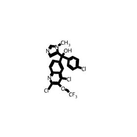 Cn1cncc1C(O)(c1ccc(Cl)cc1)c1ccc2nc(Cl)c(OCC(F)(F)F)c(Cl)c2c1